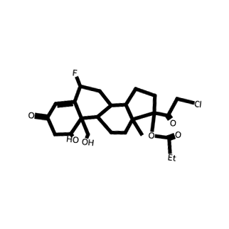 CCC(=O)OC1(C(=O)CCl)CCC2C3CC(F)C4=CC(=O)CC(O)C4(CO)C3CCC21C